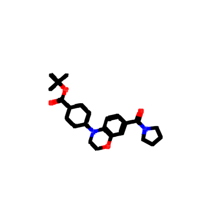 CC(C)(C)OC(=O)C1CCC(N2CCOc3cc(C(=O)N4CCCC4)ccc32)CC1